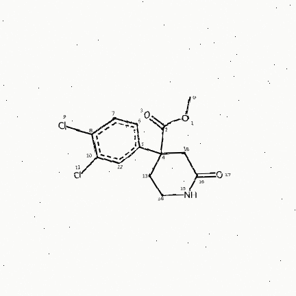 COC(=O)C1(c2ccc(Cl)c(Cl)c2)CCNC(=O)C1